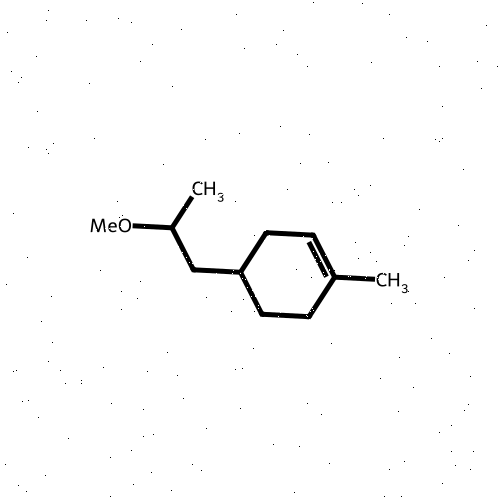 COC(C)CC1CC=C(C)CC1